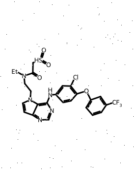 CCN(CCn1ccc2ncnc(Nc3ccc(Oc4cccc(C(F)(F)F)c4)c(Cl)c3)c21)C(=O)C[SH](=O)=O